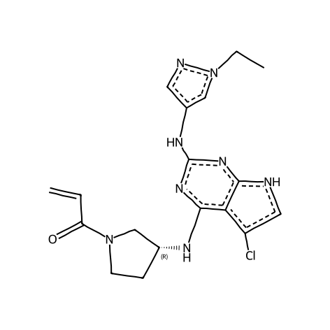 C=CC(=O)N1CC[C@@H](Nc2nc(Nc3cnn(CC)c3)nc3[nH]cc(Cl)c23)C1